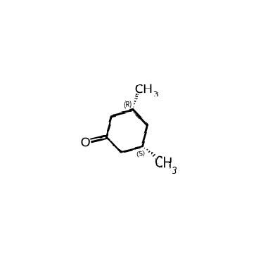 C[C@@H]1CC(=O)C[C@H](C)C1